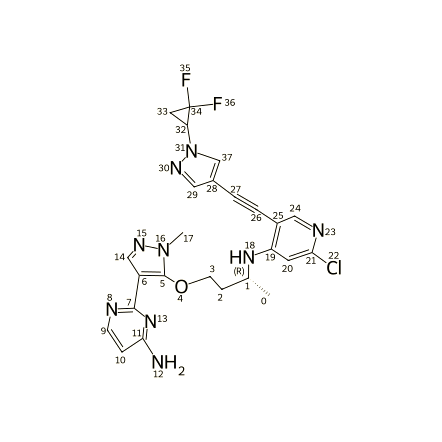 C[C@H](CCOc1c(-c2nccc(N)n2)cnn1C)Nc1cc(Cl)ncc1C#Cc1cnn(C2CC2(F)F)c1